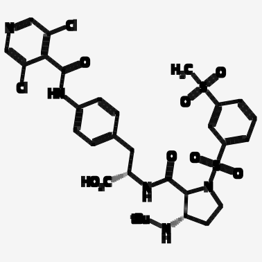 CC(C)(C)N[C@H]1CCN(S(=O)(=O)c2cccc(S(C)(=O)=O)c2)C1C(=O)N[C@@H](Cc1ccc(NC(=O)c2c(Cl)cncc2Cl)cc1)C(=O)O